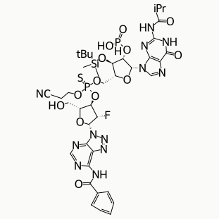 CC(C)C(=O)Nc1nc2c(ncn2[C@@H]2O[C@H](COP(=S)(OCCC#N)O[C@H]3[C@H](F)[C@H](n4nnc5c(NC(=O)c6ccccc6)ncnc54)O[C@@H]3CO)[C@@H](O[Si](C)(C)C(C)(C)C)[C@@H]2O[PH](=O)O)c(=O)[nH]1